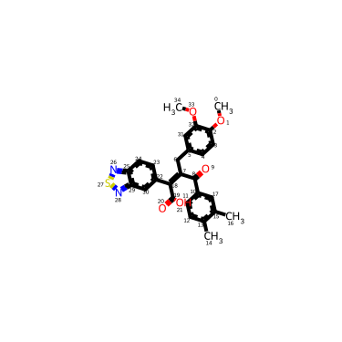 COc1ccc(CC(C(=O)c2ccc(C)c(C)c2)=C(C(=O)O)c2ccc3nsnc3c2)cc1OC